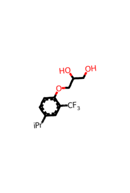 CC(C)c1ccc(OCC(O)CO)c(C(F)(F)F)c1